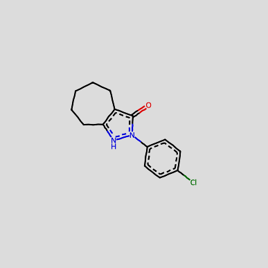 O=c1c2c([nH]n1-c1ccc(Cl)cc1)CCCCC2